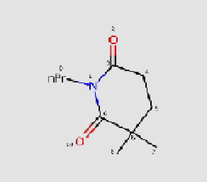 CCCN1C(=O)CCC(C)(C)C1=O